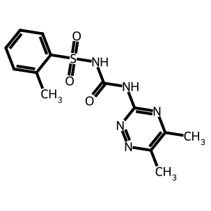 Cc1ccccc1S(=O)(=O)NC(=O)Nc1nnc(C)c(C)n1